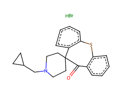 Br.O=C1c2ccccc2Sc2ccccc2C12CCN(CC1CC1)CC2